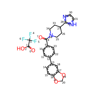 O=C(O)C(F)(F)F.O=C(c1ccc(-c2ccc3c(c2)OCO3)cc1)N1CCC(c2ncc[nH]2)CC1